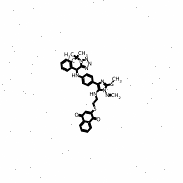 C=Nn1c(SC)nc(-c2ccc(NC(c3ccccc3)c3nnnn3C(C)(C)C)cc2)c1NCCSC1=CC(=O)c2ccccc2C1=O